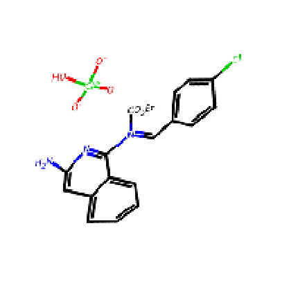 CCOC(=O)[N+](=Cc1ccc(Cl)cc1)c1nc(N)cc2ccccc12.[O-][Cl+3]([O-])([O-])O